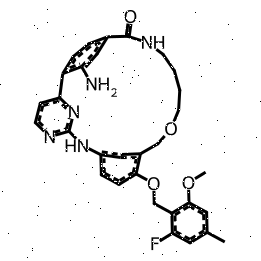 COc1cc(C)cc(F)c1COc1ccc2cc1COCCCCNC(=O)c1ccc(c(N)c1)-c1ccnc(n1)N2